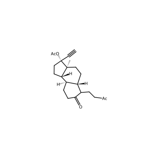 C#C[C@]1(OC(C)=O)CC[C@H]2[C@@H]3CCC(=O)C(CCC(C)=O)[C@H]3CC[C@@]21C